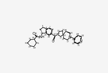 O=C(NC1CCc2ccc(C(=O)N3CCC4(CCN(c5ccncc5)CC4)C3)cc21)C1CCCCC1